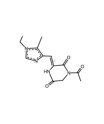 CCn1cnc(/C=C2\NC(=O)CN(C(C)=O)C2=O)c1C